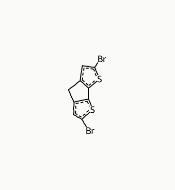 Brc1cc2c(s1)-c1sc(Br)cc1C2